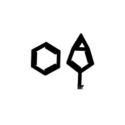 Brc1cc2cc-2c1.[c]1ccccc1